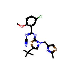 COc1ccc(Cl)cc1C(=NC#N)/N=c1\sc(C(C)(C)C)cn1Cc1csc(C)n1